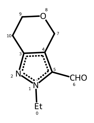 CCn1nc2c(c1C=O)COCC2